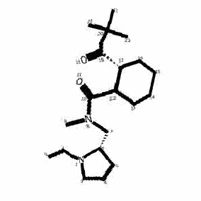 CCN1CCC[C@H]1CN(C)C(=O)C1CCCC[C@H]1C(=O)C(C)(C)C